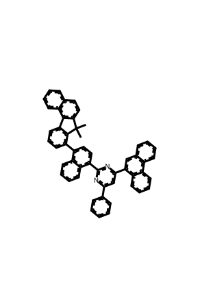 CC1(C)c2ccc3ccccc3c2-c2cccc(-c3ccc(-c4nc(-c5ccccc5)cc(-c5cc6ccccc6c6ccccc56)n4)c4ccccc34)c21